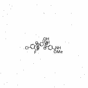 COC(=N)c1ccc(S(=O)(=O)[C@H]2CN(S(=O)(=O)c3ccc(Cl)cc3C(F)F)C[C@@]2(O)CO)cc1